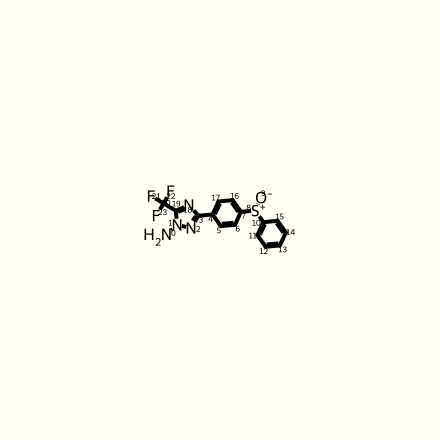 Nn1nc(-c2ccc([S+]([O-])c3ccccc3)cc2)nc1C(F)(F)F